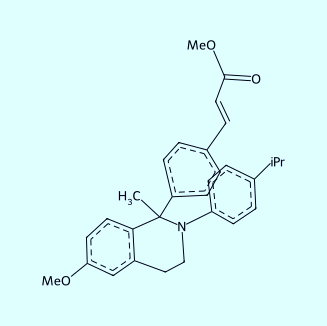 COC(=O)C=Cc1ccc(C2(C)c3ccc(OC)cc3CCN2c2ccc(C(C)C)cc2)cc1